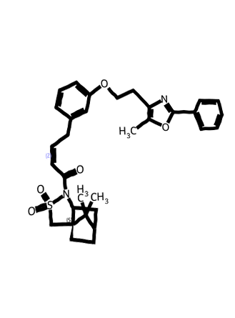 Cc1oc(-c2ccccc2)nc1CCOc1cccc(C/C=C\C(=O)N2C3CC4CC[C@]3(CS2(=O)=O)C4(C)C)c1